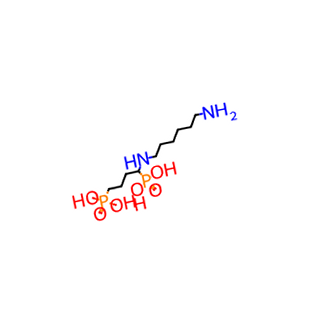 NCCCCCCNC(CCCP(=O)(O)O)P(=O)(O)O